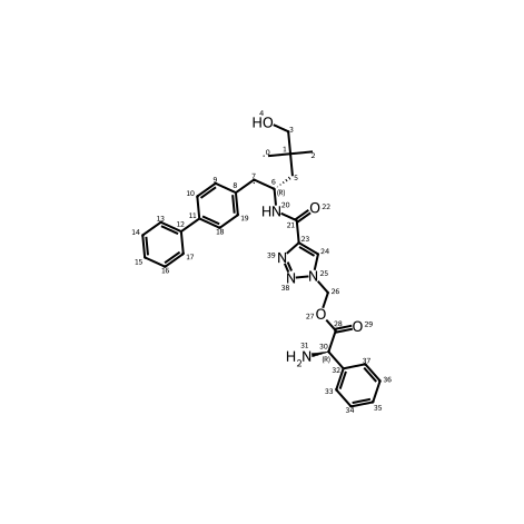 [CH2]C(C)(CO)C[C@@H]([CH]c1ccc(-c2ccccc2)cc1)NC(=O)c1cn(COC(=O)[C@H](N)c2ccccc2)nn1